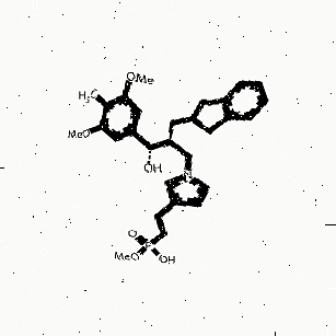 COc1cc([C@@H](O)[C@@H](CC2Cc3ccccc3C2)Cn2ccc(CCP(=O)(O)OC)c2)cc(OC)c1C